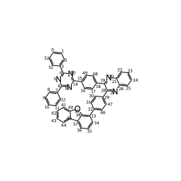 c1ccc(-c2nc(-c3ccccc3)nc(-c3ccc(-c4nc5ccccc5nc4-c4ccc(-c5cccc6c5oc5ccccc56)cc4)cc3)n2)cc1